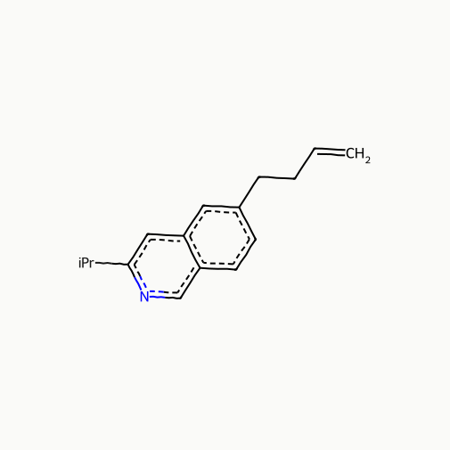 C=CCCc1ccc2cnc(C(C)C)cc2c1